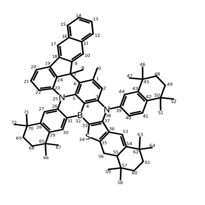 Cc1cc2c3c4c1C1(C)c5cc6ccccc6cc5-c5cccc(c51)N4c1cc4c(cc1B3c1sc3c(c1N2c1ccc2c(c1)C(C)(C)CCC2(C)C)C=C1C(C3)C(C)(C)CCC1(C)C)C(C)(C)CCC4(C)C